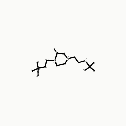 C[C@H]1CN(CCOC(C)(C)C)CCN1CCC(C)(C)C